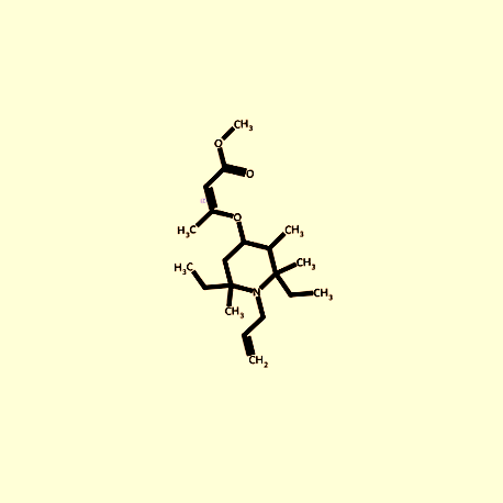 C=CCN1C(C)(CC)CC(O/C(C)=C\C(=O)OC)C(C)C1(C)CC